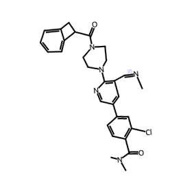 C/N=C\c1cc(-c2ccc(C(=O)N(C)C)c(Cl)c2)cnc1N1CCN(C(=O)C2Cc3ccccc32)CC1